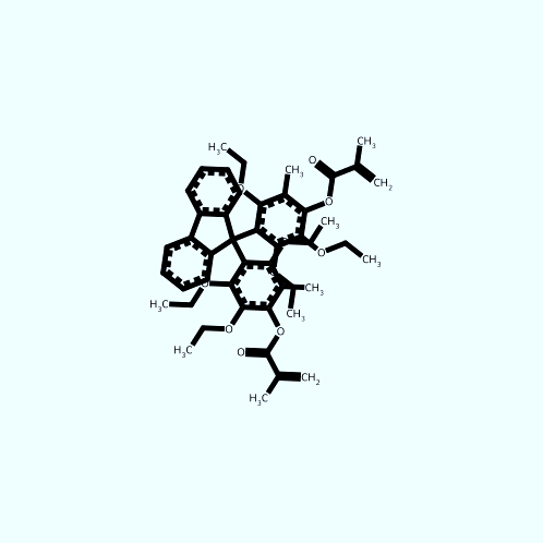 C=C(C)C(=O)Oc1c(C)c(OCC)c(C2(c3c(OCC)c(C)c(OC(=O)C(=C)C)c(OCC)c3OCC)c3ccccc3-c3ccccc32)c(OCC)c1OCC